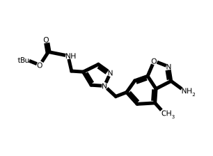 Cc1cc(Cn2cc(CNC(=O)OC(C)(C)C)cn2)cc2onc(N)c12